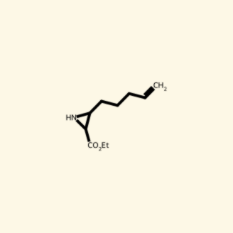 C=CCCCC1NC1C(=O)OCC